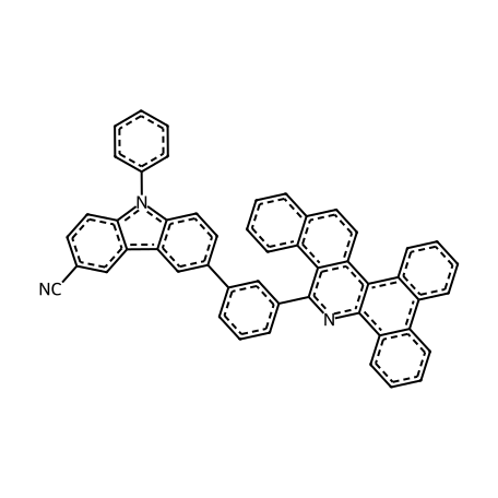 N#Cc1ccc2c(c1)c1cc(-c3cccc(-c4nc5c6ccccc6c6ccccc6c5c5ccc6ccccc6c45)c3)ccc1n2-c1ccccc1